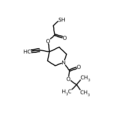 C#CC1(OC(=O)CS)CCN(C(=O)OC(C)(C)C)CC1